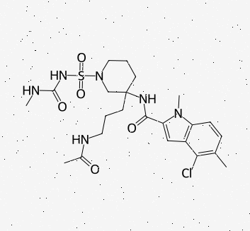 CNC(=O)NS(=O)(=O)N1CCCC(CCCNC(C)=O)(NC(=O)c2cc3c(Cl)c(C)ccc3n2C)C1